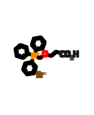 O=C(O)CCOC[P+](c1ccccc1)(c1ccccc1)c1ccccc1.[Br-]